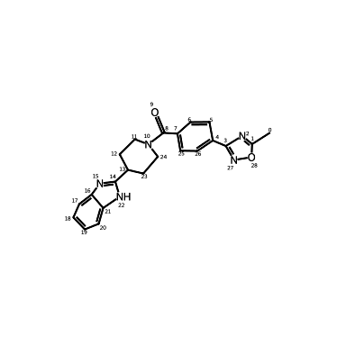 Cc1nc(-c2ccc(C(=O)N3CCC(c4nc5ccccc5[nH]4)CC3)cc2)no1